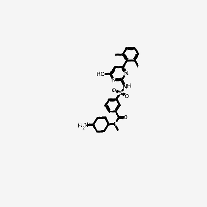 Cc1cccc(C)c1-c1cc(O)nc(NS(=O)(=O)c2cccc(C(=O)N(C)C3CCC(N)CC3)c2)n1